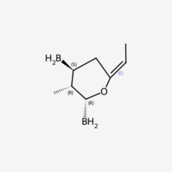 B[C@H]1C/C(=C\C)O[C@H](B)[C@@H]1C